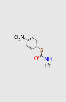 CC(C)NC(=O)Sc1ccc([N+](=O)[O-])cc1